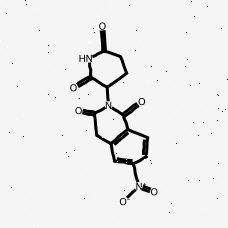 O=C1CCC(N2C(=O)Cc3cc([N+](=O)[O-])ccc3C2=O)C(=O)N1